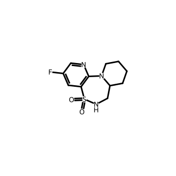 O=S1(=O)NCC2CCCCN2c2ncc(F)cc21